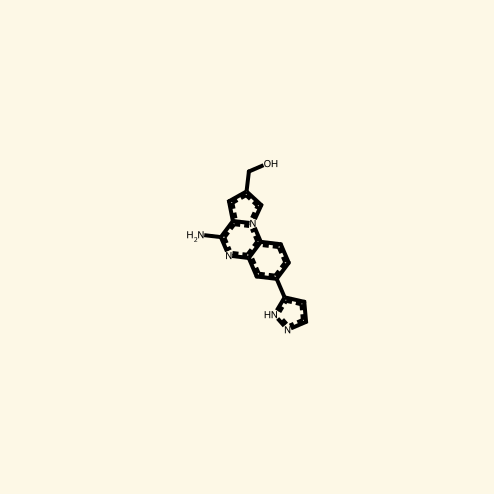 Nc1nc2cc(-c3ccn[nH]3)ccc2n2cc(CO)cc12